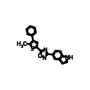 Cc1sc(-c2nc(-c3ccc4[nH]ccc4c3)no2)cc1-c1ccccc1